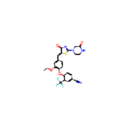 CCOc1cc(/C=C2\SC(N3CCNC(=O)C3)=NC2=O)ccc1Oc1ccc(C#N)cc1C(F)(F)F